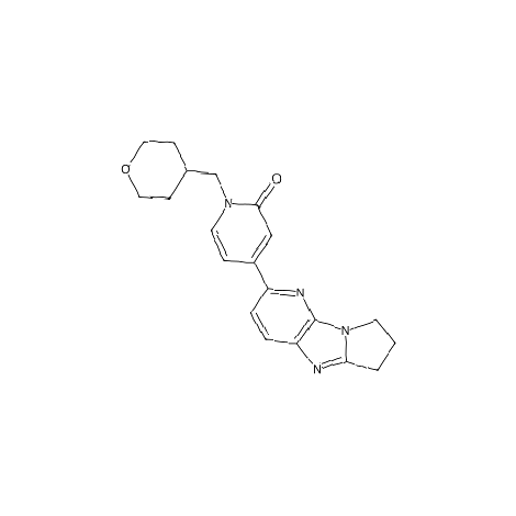 O=c1cc(-c2ccc3nc4n(c3n2)CCC4)ccn1CC1CCOCC1